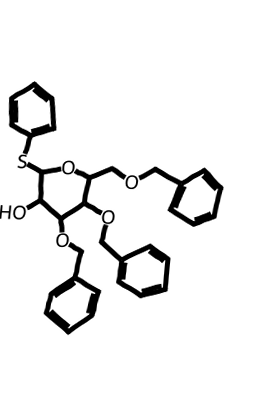 OC1C(Sc2ccccc2)OC(COCc2ccccc2)C(OCc2ccccc2)C1OCc1ccccc1